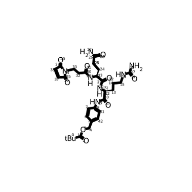 CC(C)(C)C(=O)OCc1ccc(NC(=O)[C@H](CCCNC(N)=O)NC(=O)[C@H](CCC(N)=O)NC(=O)CCN2C(=O)C=CC2=O)cc1